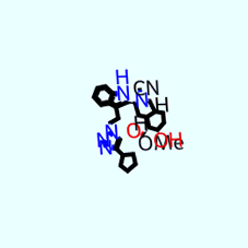 COC(=O)[C@@H]1[C@H]2C[C@@H](c3[nH]c4ccccc4c3CCn3cc(C4CCCC4)nn3)N(C#N)C[C@@H]2CC[C@@H]1O